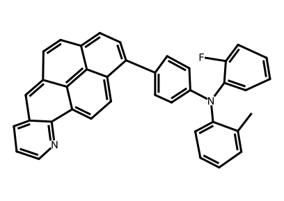 Cc1ccccc1N(c1ccc(-c2ccc3ccc4cc5cccnc5c5ccc2c3c45)cc1)c1ccccc1F